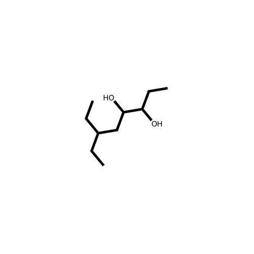 CCC(CC)CC(O)C(O)CC